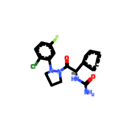 NC(=O)N[C@H](C(=O)N1CCCN1c1cc(F)ccc1Cl)c1ccccc1